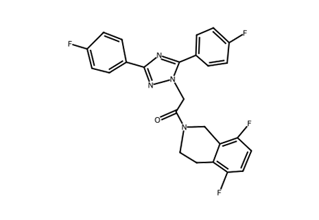 O=C(Cn1nc(-c2ccc(F)cc2)nc1-c1ccc(F)cc1)N1CCc2c(F)ccc(F)c2C1